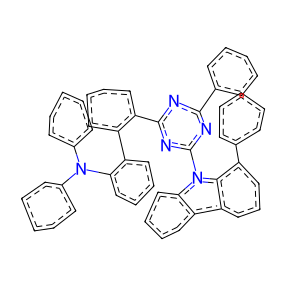 c1ccc(-c2nc(-c3ccccc3-c3ccccc3N(c3ccccc3)c3ccccc3)nc(-n3c4ccccc4c4cccc(-c5ccccc5)c43)n2)cc1